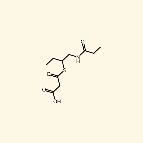 CCC(=O)NCC(CC)SC(=O)CC(=O)O